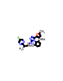 COc1cccc(OC)c1-n1c(NSCC(C)c2ncc(F)cn2)nnc1-c1ccc(C)o1